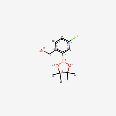 CC1(C)OB(c2cc(F)ccc2CBr)OC1(C)C